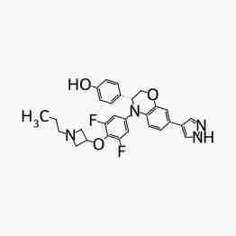 CCCN1CC(Oc2c(F)cc(N3c4ccc(-c5cn[nH]c5)cc4OC[C@H]3c3ccc(O)cc3)cc2F)C1